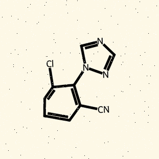 N#Cc1cccc(Cl)c1-n1cncn1